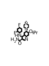 CC(C)Oc1cc2ncc(C(N)=O)c(Nc3ccc(F)cc3F)c2cc1N1CCN(C)CC1